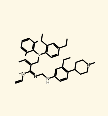 C=CNC(=N/CNc1ccc(C2CCN(C)CC2)c(CC)c1)/C(=C\C)CN(c1ccc(CC)cc1CC)c1c(C)cccc1C